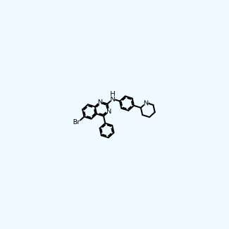 Brc1ccc2nc(Nc3ccc(C4CCCC[N]4)cc3)nc(-c3ccccc3)c2c1